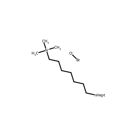 CCCCCCCCCCCCCC[N+](C)(C)C.[O-]Br